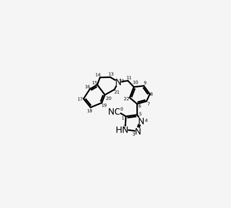 N#Cc1[nH]nnc1-c1cccc(CN2CCc3ccccc3C2)c1